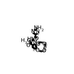 Cn1c(NC(=O)c2cnc(N)nc2)nc2c3c(ccc2c1=O)OCCOCCOCCO3